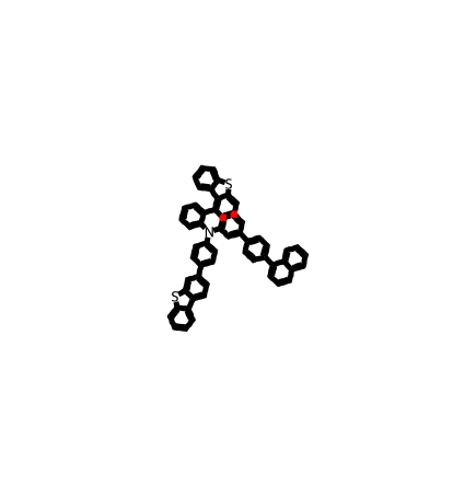 c1cc(-c2ccc(-c3cccc4ccccc34)cc2)cc(N(c2ccc(-c3ccc4c(c3)sc3ccccc34)cc2)c2ccccc2-c2cccc3sc4ccccc4c23)c1